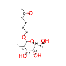 CC(=O)CCCCOC1OC(CO)C(O)C(O)C1C